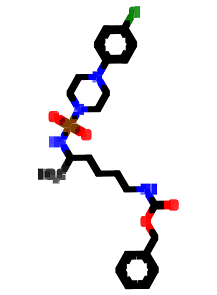 O=C(NCCCCC(NS(=O)(=O)N1CCN(c2ccc(Cl)cc2)CC1)C(=O)O)OCc1ccccc1